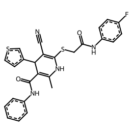 CC1=C(C(=O)Nc2ccccc2)C(c2ccsc2)C(C#N)=C(SCC(=O)Nc2ccc(F)cc2)N1